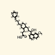 COc1ccc2nccc([C@@H](O)CCC3CCN(CCSc4cncnc4)CC3CCC(=O)O)c2c1